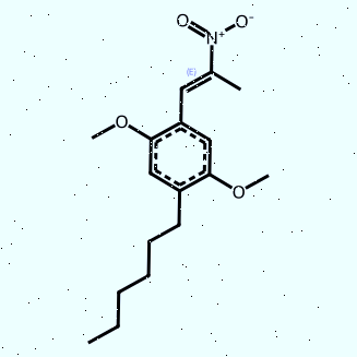 CCCCCCc1cc(OC)c(/C=C(\C)[N+](=O)[O-])cc1OC